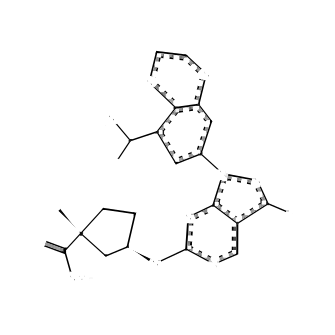 CCC(N)c1cc(-n2nc(Br)c3cnc(N[C@@H]4CC[C@@](C)(C(=O)NC)C4)nc32)cc2nccnc12